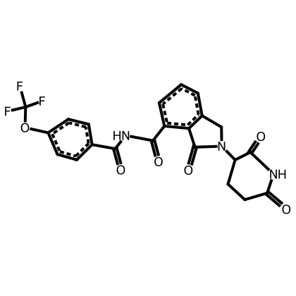 O=C1CCC(N2Cc3cccc(C(=O)NC(=O)c4ccc(OC(F)(F)F)cc4)c3C2=O)C(=O)N1